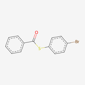 O=C(Sc1ccc(Br)cc1)c1ccccc1